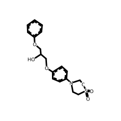 O=S1(=O)CCN(c2ccc(OCC(O)COc3ccccc3)cc2)CC1